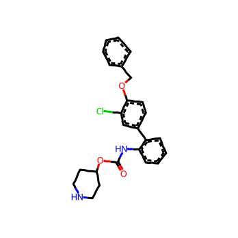 O=C(Nc1ccccc1-c1ccc(OCc2ccccc2)c(Cl)c1)OC1CCNCC1